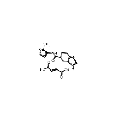 Cc1sccc1NC(=O)C1CCc2nc[nH]c2C1.O=C(O)C=CC(=O)O